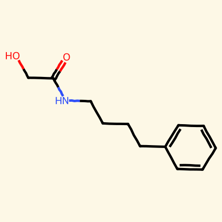 O=C(CO)NCCCCc1ccccc1